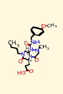 CCCCN1C[C@H]2N(C(=O)CN(C)N2C(=O)NCc2ccc(OC)cc2)[C@@H](CCC(=O)O)C1=O